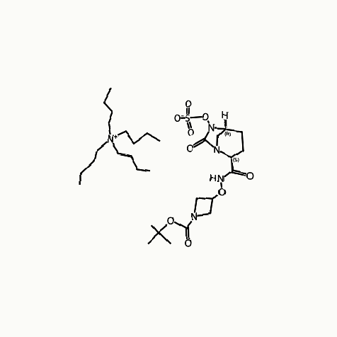 CC(C)(C)OC(=O)N1CC(ONC(=O)[C@@H]2CC[C@@H]3CN2C(=O)N3OS(=O)(=O)[O-])C1.CCCC[N+](CCCC)(CCCC)CCCC